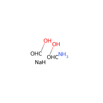 N.O=CO.O=CO.[NaH]